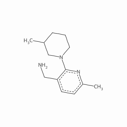 Cc1ccc(CN)c(N2CCCC(C)C2)n1